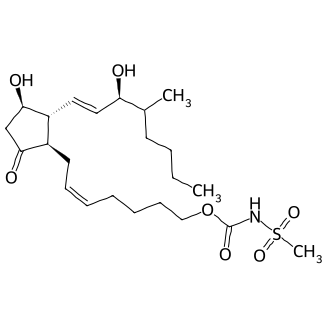 CCCCC(C)[C@H](O)/C=C/[C@H]1[C@H](O)CC(=O)[C@@H]1C/C=C\CCCCOC(=O)NS(C)(=O)=O